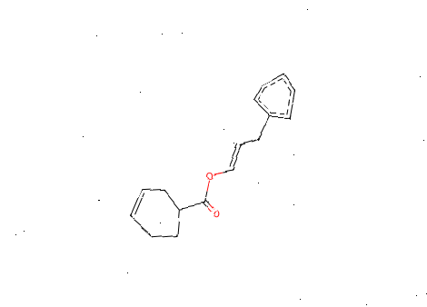 O=C(OC=CCc1ccccc1)C1CC=CCC1